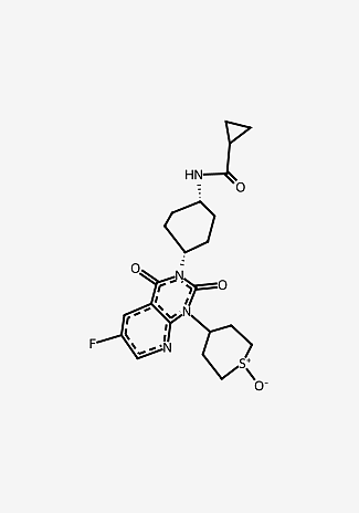 O=C(N[C@H]1CC[C@@H](n2c(=O)c3cc(F)cnc3n(C3CC[S+]([O-])CC3)c2=O)CC1)C1CC1